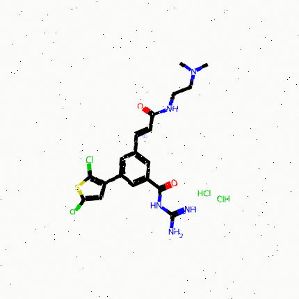 CN(C)CCNC(=O)/C=C/c1cc(C(=O)NC(=N)N)cc(-c2cc(Cl)sc2Cl)c1.Cl.Cl